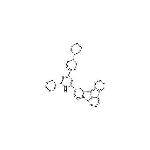 C1=C(c2ccc3c4cccc5c6ccccc6n(c3c2)c54)NC(c2ccccc2)N=C1c1ccc(-c2ccccc2)cc1